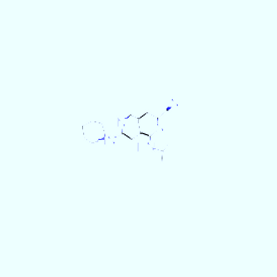 CC(C)Nc1nc(C#N)cc2cnc(NC3CCCCC3)cc12